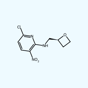 O=[N+]([O-])c1ccc(Cl)nc1NC[C@@H]1CCO1